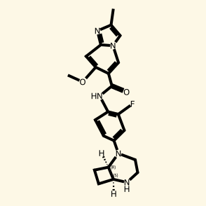 COc1cc2nc(C)cn2cc1C(=O)Nc1ccc(N2CCN[C@H]3CC[C@H]32)cc1F